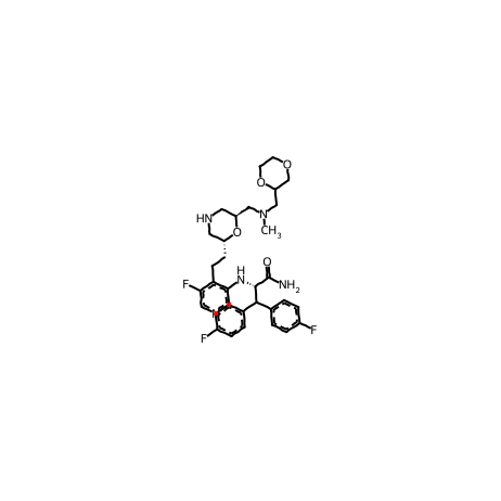 CN(CC1COCCO1)C[C@@H]1CNC[C@@H](CCc2c(F)cncc2N[C@H](C(N)=O)C(c2ccc(F)cc2)c2ccc(F)cc2)O1